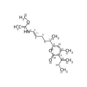 C=C(N/C=C/CCC(C)c1cc(C)c(C(=C)CC)c(=O)o1)OC